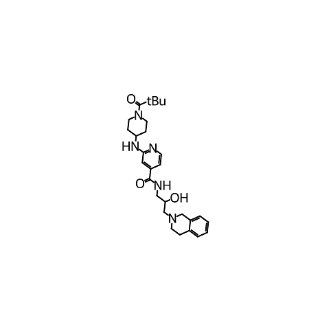 CC(C)(C)C(=O)N1CCC(Nc2cc(C(=O)NCC(O)CN3CCc4ccccc4C3)ccn2)CC1